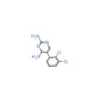 Nc1ncc(-c2cccc(Cl)c2Cl)c(N)n1